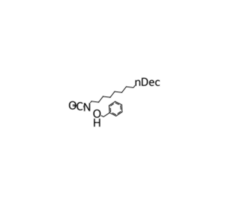 CCCCCCCCCCCCCCCCCCN=C=O.OCc1ccccc1